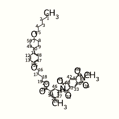 CCCCCCOC1CCC(c2ccc(OCCCCOC(=O)c3cc(C)cc(-n4c(=O)c5cc6c(=O)n(C)c(=O)c6cc5c4=O)c3)cc2)CC1